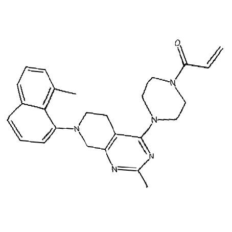 C=CC(=O)N1CCN(c2nc(C)nc3c2CCN(c2cccc4cccc(C)c24)C3)CC1